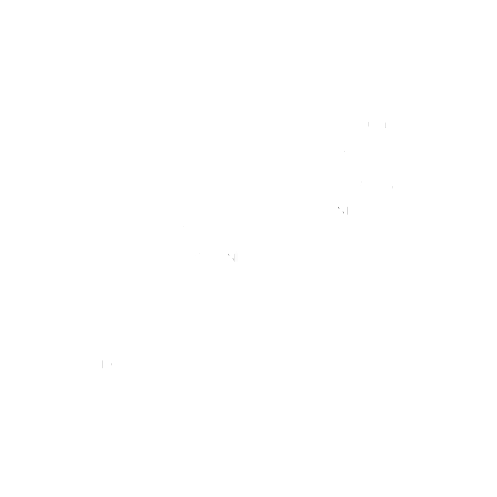 Cc1ccc(C(=O)NCCCNC(=O)OC(C)(C)C)cc1F